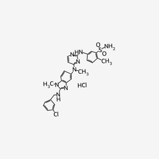 Cc1ccc(Nc2nccc(N(C)c3ccc4c(c3)nc(NCc3cccc(Cl)c3)n4C)n2)cc1S(N)(=O)=O.Cl